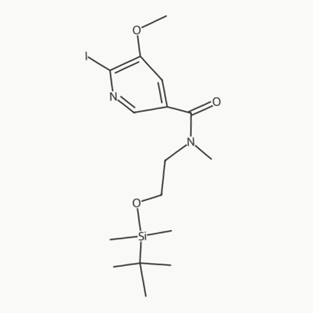 COc1cc(C(=O)N(C)CCO[Si](C)(C)C(C)(C)C)cnc1I